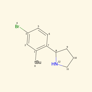 CC(C)(C)c1cc(Br)ccc1C1CCCN1